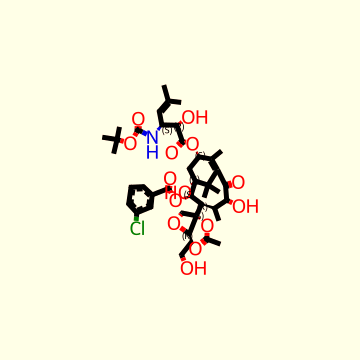 CC(=O)O[C@@]1([C@@H]2C(C)C(O)C(=O)C3=C(C)[C@@H](OC(=O)[C@H](O)[C@H](C=C(C)C)NC(=O)OC(C)(C)C)C[C@@](O)([C@H]2OC(=O)c2cccc(Cl)c2)C3(C)C)CO[C@@H]1CCO